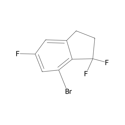 Fc1cc(Br)c2c(c1)CCC2(F)F